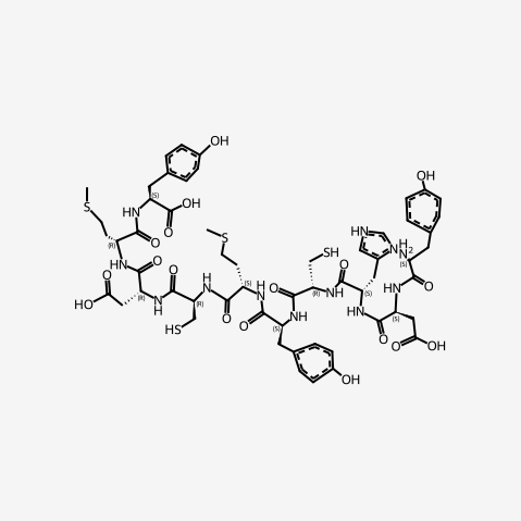 CSCC[C@H](NC(=O)[C@H](Cc1ccc(O)cc1)NC(=O)[C@H](CS)NC(=O)[C@H](Cc1c[nH]cn1)NC(=O)[C@H](CC(=O)O)NC(=O)[C@@H](N)Cc1ccc(O)cc1)C(=O)N[C@@H](CS)C(=O)N[C@H](CC(=O)O)C(=O)N[C@H](CCSC)C(=O)N[C@@H](Cc1ccc(O)cc1)C(=O)O